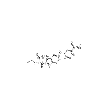 CCC[C@@H](Nc1nc2ccc(Oc3ccnc(C(=O)NC)c3)cc2s1)[C@@H](C)O